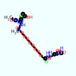 C=CC(=O)N1CCN(c2nc(NCCC(=O)N(C)CCOCCOCCOCCOCCOCCOCCOCCOCCc3cc(Cl)cc(NC(=O)NCc4ccc5c(c4)CN(C4CCC(=O)NC4=O)C5=O)c3)nc3c(F)c(-c4cc(O)cc5ccccc45)c(Cl)cc23)CC1